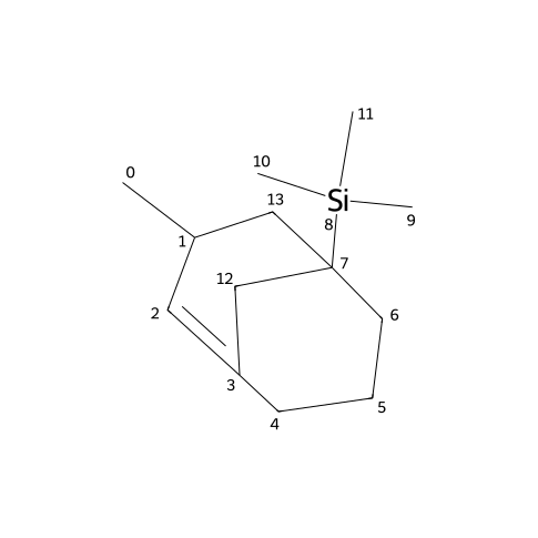 CC1C=C2CCCC([Si](C)(C)C)(C2)C1